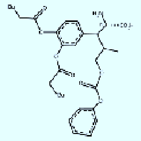 CCC(C)CC(=O)Oc1ccc(C(C(C)COC(=O)Oc2ccccc2)[C@H](N)C(=O)O)cc1OC(=O)CC(C)CC